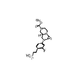 CC(C)(C)OC(=O)N1CCN2C3OC3N(c3ccc(CCC(=O)O)c(F)c3)C[C@@H]2C1